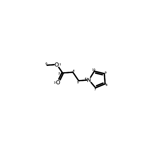 COC(=O)CCn1cccc1